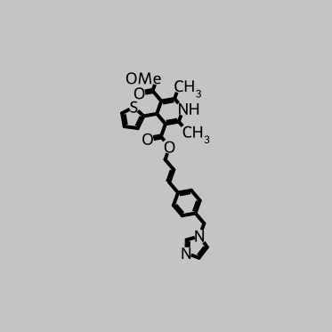 COC(=O)C1=C(C)NC(C)=C(C(=O)OCC=Cc2ccc(Cn3ccnc3)cc2)C1c1cccs1